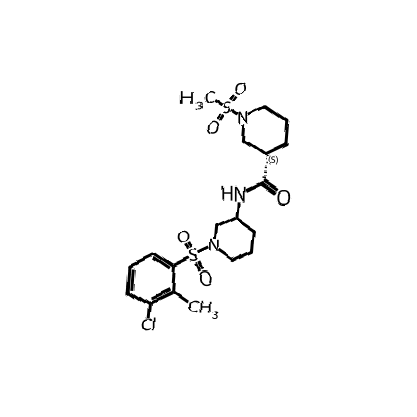 Cc1c(Cl)cccc1S(=O)(=O)N1CCCC(NC(=O)[C@H]2CCCN(S(C)(=O)=O)C2)C1